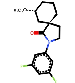 CCOC(=O)[C@@H]1CCC[C@]2(CCN(c3cc(F)cc(F)c3)C2=O)C1